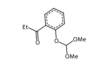 CCC(=O)c1ccccc1OC(OC)OC